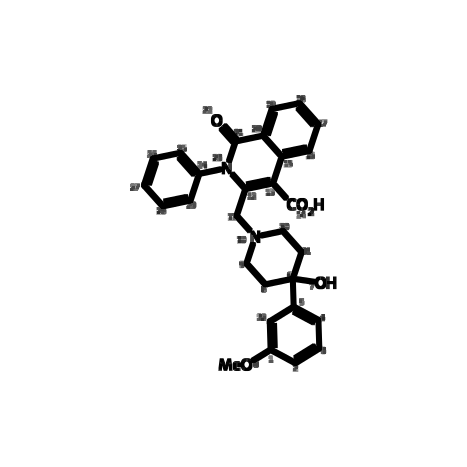 COc1cccc(C2(O)CCN(Cc3c(C(=O)O)c4ccccc4c(=O)n3-c3ccccc3)CC2)c1